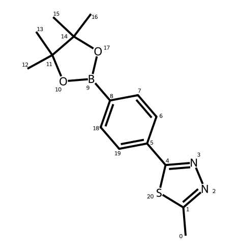 Cc1nnc(-c2ccc(B3OC(C)(C)C(C)(C)O3)cc2)s1